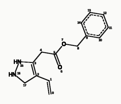 C=CC1=C(CC(=O)OCc2ccccc2)NNC1